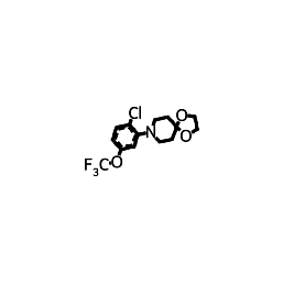 FC(F)(F)Oc1ccc(Cl)c(N2CCC3(CC2)OCCO3)c1